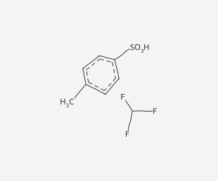 Cc1ccc(S(=O)(=O)O)cc1.FC(F)F